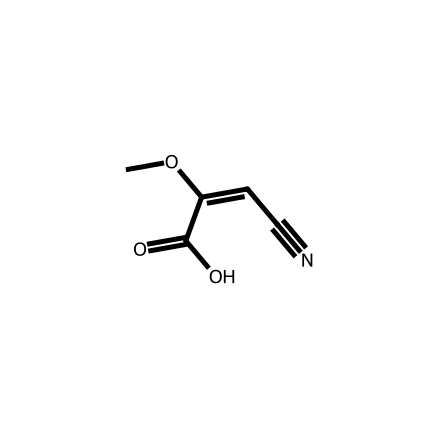 COC(=CC#N)C(=O)O